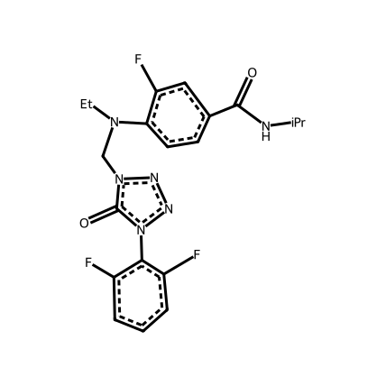 CCN(Cn1nnn(-c2c(F)cccc2F)c1=O)c1ccc(C(=O)NC(C)C)cc1F